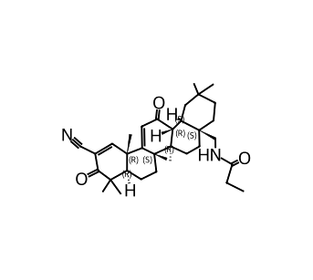 CCC(=O)NC[C@]12CCC(C)(C)C[C@H]1[C@H]1C(=O)C=C3[C@@]4(C)C=C(C#N)C(=O)C(C)(C)[C@@H]4CC[C@@]3(C)[C@]1(C)CC2